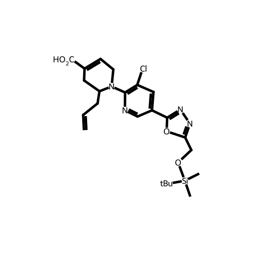 C=CCC1CC(C(=O)O)=CCN1c1ncc(-c2nnc(CO[Si](C)(C)C(C)(C)C)o2)cc1Cl